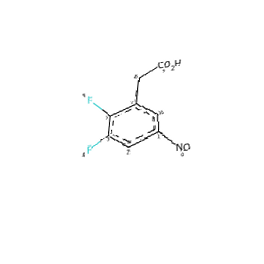 O=Nc1cc(F)c(F)c(CC(=O)O)c1